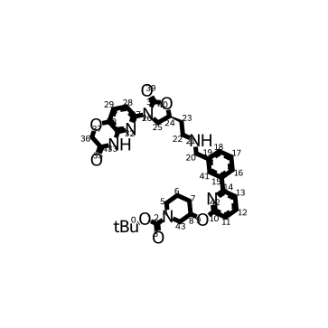 CC(C)(C)OC(=O)N1CCCC(Oc2cccc(-c3cccc(CNCC[C@H]4CN(c5ccc6c(n5)NC(=O)CO6)C(=O)O4)c3)n2)C1